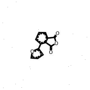 O=C1OC(=O)c2c1cccc2-c1ccco1